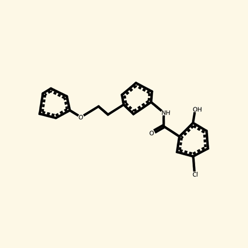 O=C(Nc1cccc(CCOc2ccccc2)c1)c1cc(Cl)ccc1O